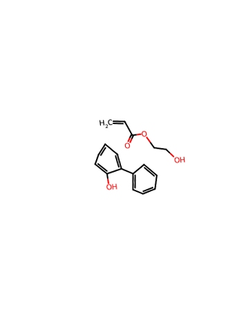 C=CC(=O)OCCO.Oc1ccccc1-c1ccccc1